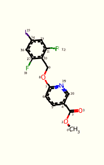 COC(=O)c1ccc(OCc2c(F)cc(I)cc2F)nc1